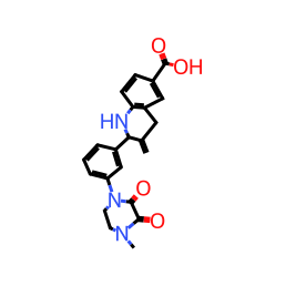 C=C1Cc2cc(C(=O)O)ccc2NC1c1cccc(N2CCN(C)C(=O)C2=O)c1